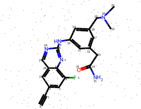 C#Cc1cc(F)c2nc(Nc3cc(CC(N)=O)cc(CN(C)C)c3)ncc2c1